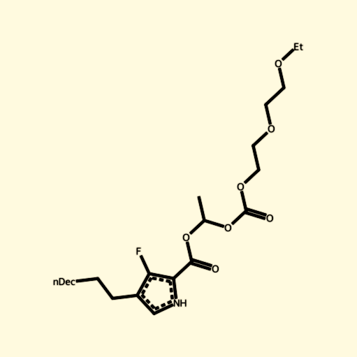 CCCCCCCCCCCCc1c[nH]c(C(=O)OC(C)OC(=O)OCCOCCOCC)c1F